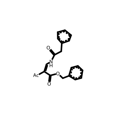 CC(=O)C(=CNC(=O)Cc1ccccc1)C(=O)OCc1ccccc1